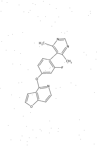 Cc1ncnc(C)c1-c1ccc(Oc2nccc3occc23)cc1F